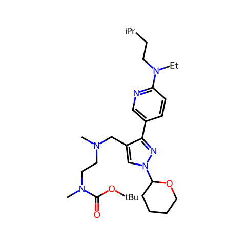 CCN(CCC(C)C)c1ccc(-c2nn(C3CCCCO3)cc2CN(C)CCN(C)C(=O)OC(C)(C)C)cn1